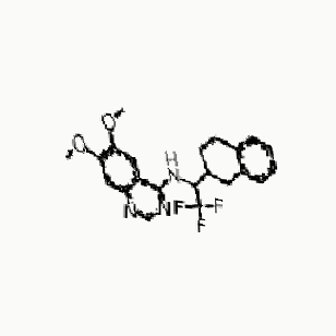 COc1cc2ncnc(NC(C3CCc4ccccc4C3)C(F)(F)F)c2cc1OC